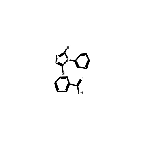 O=C(O)c1ccccc1.Sc1nnc(S)n1-c1ccccc1